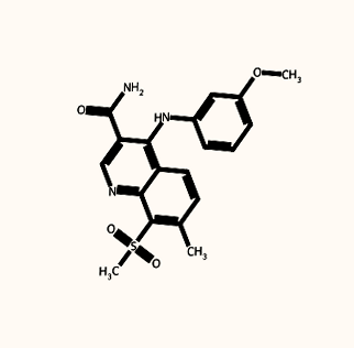 COc1cccc(Nc2c(C(N)=O)cnc3c(S(C)(=O)=O)c(C)ccc23)c1